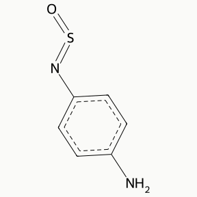 Nc1ccc(N=S=O)cc1